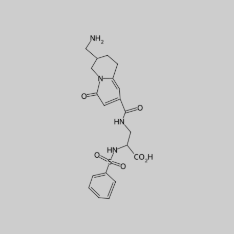 NCC1CCc2cc(C(=O)NCC(NS(=O)(=O)c3ccccc3)C(=O)O)cc(=O)n2C1